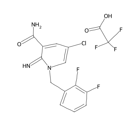 N=c1c(C(N)=O)cc(Cl)cn1Cc1cccc(F)c1F.O=C(O)C(F)(F)F